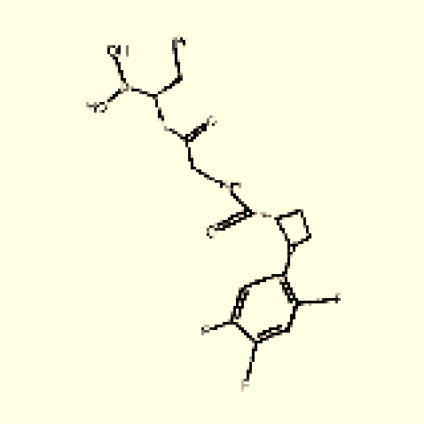 CC(C)C[C@@H](NC(=O)CNC(=O)[C@@H]1CCN1c1cc(F)c(F)cc1F)B(O)O